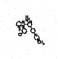 CN1CCN(c2ccc(-c3cnc(N)c(-c4nc5cccnc5n4-c4cccc(Cl)c4F)c3)cc2)CC1